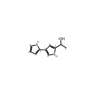 CC(O)c1cc(-c2cccs2)cs1